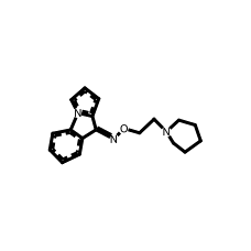 c1ccc2c(c1)C(=NOCCN1CCCCC1)c1cccn1-2